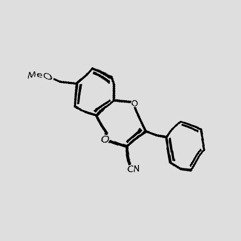 COc1ccc2c(c1)OC(C#N)=C(c1ccccc1)O2